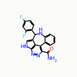 NC(=O)c1nnc2[nH]cc3c2c1-c1ccccc1NC3c1ccc(F)cc1F